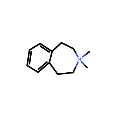 C[N+]1(C)CCc2ccccc2CC1